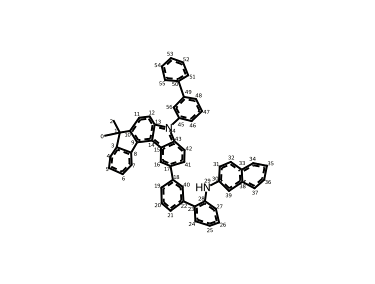 CC1(C)c2ccccc2-c2c1ccc1c2c2cc(-c3cccc(-c4ccccc4Nc4ccc5ccccc5c4)c3)ccc2n1-c1cccc(-c2ccccc2)c1